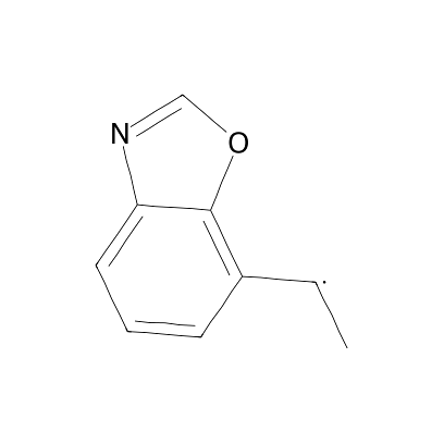 C[CH]c1cccc2ncoc12